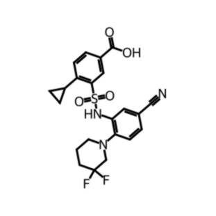 N#Cc1ccc(N2CCCC(F)(F)C2)c(NS(=O)(=O)c2cc(C(=O)O)ccc2C2CC2)c1